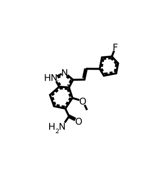 COc1c(C(N)=O)ccc2[nH]nc(C=Cc3cccc(F)c3)c12